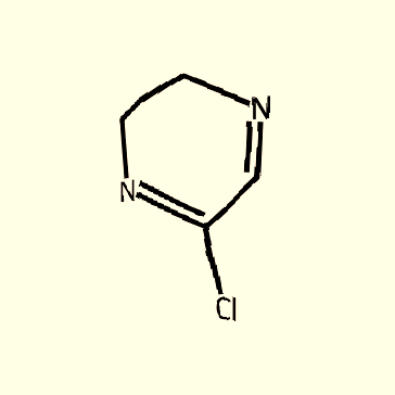 ClC1=NCCN=C1